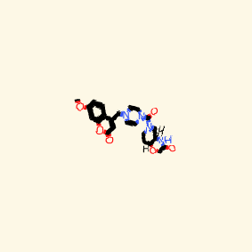 COc1ccc2c(CN3CCN(C(=O)N4CC[C@@H]5OCC(=O)N[C@@H]5C4)CC3)cc(=O)oc2c1